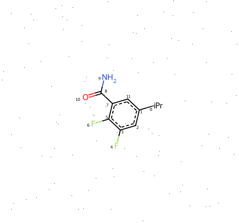 CC(C)c1cc(F)c(F)c(C(N)=O)c1